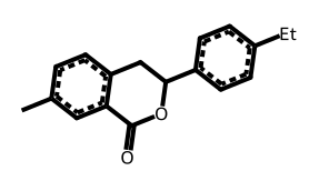 CCc1ccc(C2Cc3ccc(C)cc3C(=O)O2)cc1